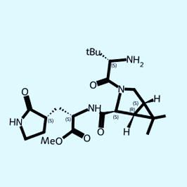 COC(=O)[C@H](C[C@@H]1CCNC1=O)NC(=O)[C@@H]1[C@@H]2[C@H](CN1C(=O)[C@@H](N)C(C)(C)C)C2(C)C